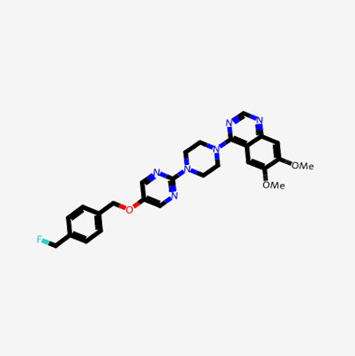 COc1cc2ncnc(N3CCN(c4ncc(OCc5ccc(CF)cc5)cn4)CC3)c2cc1OC